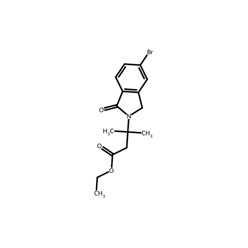 CCOC(=O)CC(C)(C)N1Cc2cc(Br)ccc2C1=O